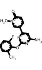 Cc1cccc(F)c1Oc1nc(N)cc(-c2ccc(=O)n(C)c2)n1